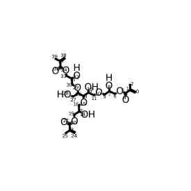 C=C(C)C(=O)OCC(O)COCC(O)C(OCC(O)COC(=O)C(=C)C)C(CO)OCC(O)COC(=O)C(=C)C